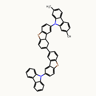 Cc1ccc2c3ccc(C#N)cc3n(-c3ccc4c(c3)C3CC(c5ccc6sc7ccc(-n8c9ccccc9c9ccccc98)cc7c6c5)=CC=C3S4)c2c1